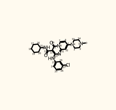 CN1CCN(c2ccn3c(=O)c(C(=O)NC4CCCCC4)c(Nc4cccc(Cl)c4)nc3c2)CC1